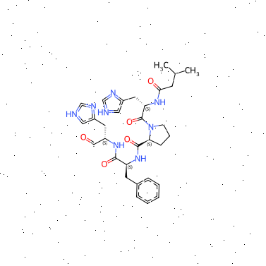 CC(C)CC(=O)N[C@@H](Cc1c[nH]cn1)C(=O)N1CCC[C@H]1C(=O)N[C@@H](Cc1ccccc1)C(=O)N[C@H]([C]=O)Cc1c[nH]cn1